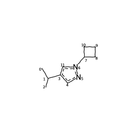 CC(C)c1cnn(C2CCC2)c1